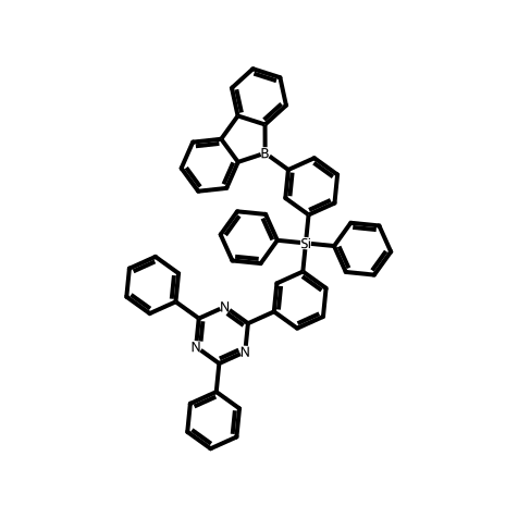 c1ccc(-c2nc(-c3ccccc3)nc(-c3cccc([Si](c4ccccc4)(c4ccccc4)c4cccc(B5c6ccccc6-c6ccccc65)c4)c3)n2)cc1